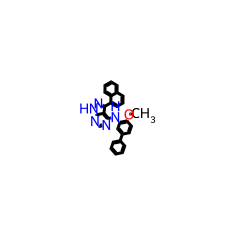 COc1ccc(-c2ccccc2)cc1Nc1ncnc2[nH]nc(-c3cccc4ccccc34)c12